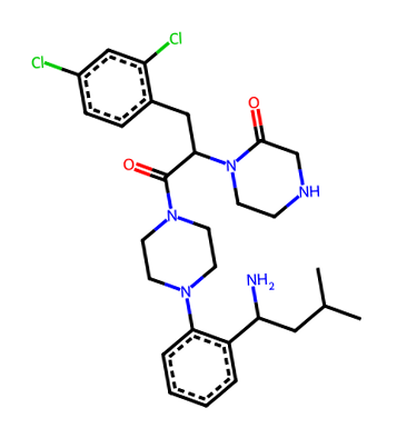 CC(C)CC(N)c1ccccc1N1CCN(C(=O)C(Cc2ccc(Cl)cc2Cl)N2CCNCC2=O)CC1